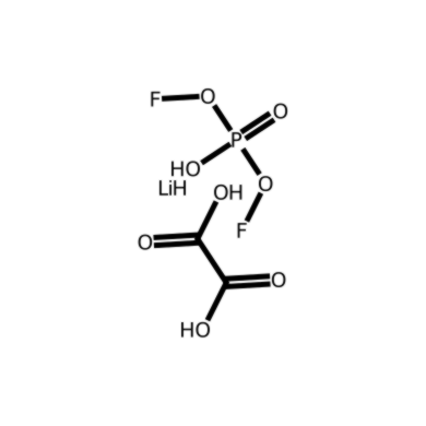 O=C(O)C(=O)O.O=P(O)(OF)OF.[LiH]